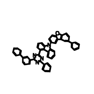 c1ccc(-c2cccc(-c3nc(-c4ccccc4)nc(-c4cccc5c4c4ccccc4n5-c4ccc5oc6ccc(-c7ccccc7)cc6c5c4)n3)c2)cc1